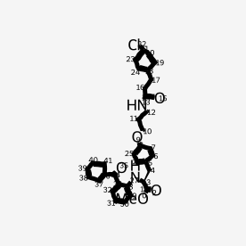 COC(=O)[C@H](Cc1ccc(OCCCNC(=O)CCc2ccc(Cl)cc2)cc1)Nc1ccccc1C(=O)c1ccccc1